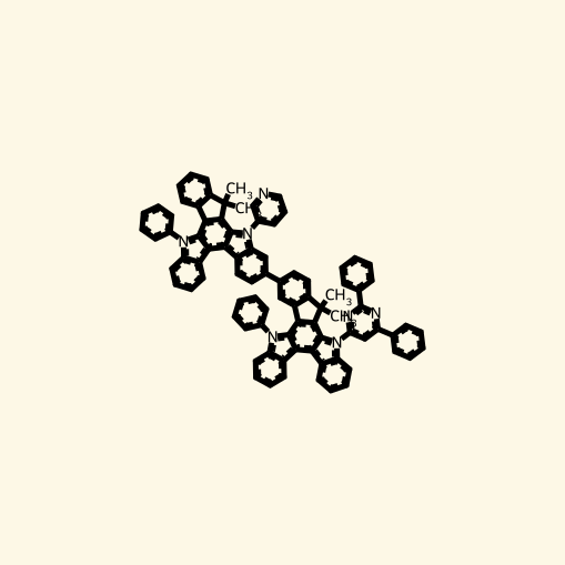 CC1(C)c2ccccc2-c2c1c1c(c3ccc(-c4ccc5c(c4)-c4c(c6c(c7ccccc7n6-c6cc(-c7ccccc7)nc(-c7ccccc7)n6)c6c7ccccc7n(-c7ccccc7)c46)C5(C)C)cc3n1-c1cccnc1)c1c3ccccc3n(-c3ccccc3)c21